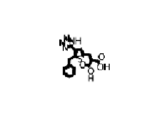 O=C(O)C(=Cc1cc(-c2nnn[nH]2)c(Cc2ccccc2)s1)C(=O)O